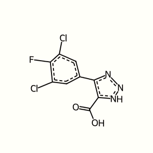 O=C(O)c1[nH]nnc1-c1cc(Cl)c(F)c(Cl)c1